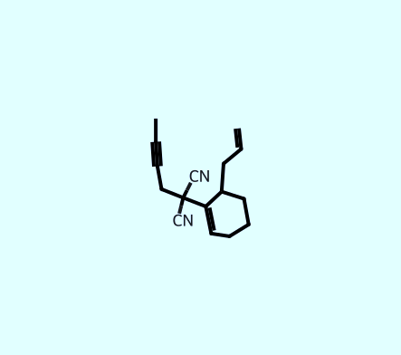 C=CCC1CCCC=C1C(C#N)(C#N)CC#CC